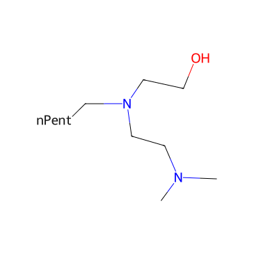 CCCCCCN(CCO)CCN(C)C